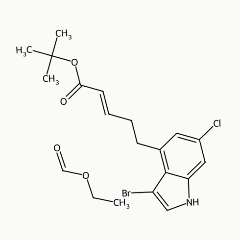 CC(C)(C)OC(=O)C=CCCc1cc(Cl)cc2[nH]cc(Br)c12.CCOC=O